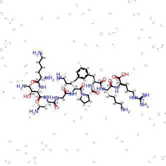 Cc1cccc(C[C@H](NC(=O)[C@@H]2CCCN2C(=O)[C@@H](CCCN)NC(=O)CNC(=O)[C@H](CCN)NC(=O)[C@@H](NC(=O)[C@@H](N)CCCCN)[C@@H](O)CN)C(=O)N[C@@H](CCCCN)C(=O)N/C(=C\CCNC(=N)N)C(=O)O)c1